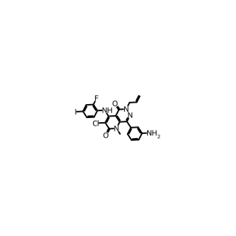 C=CCn1nc(-c2cccc(N)c2)c2c(c(Nc3ccc(I)cc3F)c(Cl)c(=O)n2C)c1=O